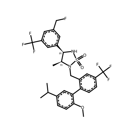 COc1ccc(C(C)C)cc1-c1ccc(C(F)(F)F)cc1CN1[C@@H](C)[C@@H](c2cc(CF)cc(C(F)(F)F)c2)NS1(=O)=O